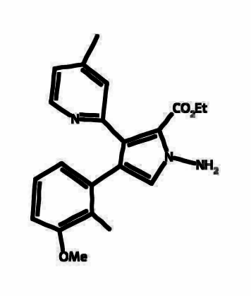 CCOC(=O)c1c(-c2cc(C)ccn2)c(-c2cccc(OC)c2C)cn1N